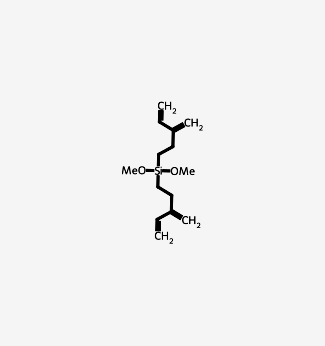 C=CC(=C)CC[Si](CCC(=C)C=C)(OC)OC